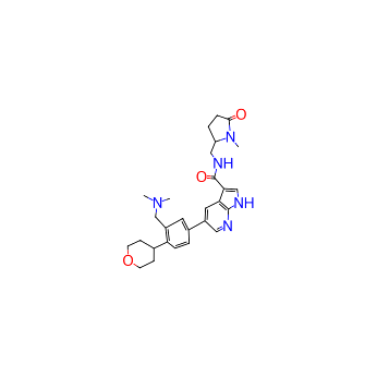 CN(C)Cc1cc(-c2cnc3[nH]cc(C(=O)NCC4CCC(=O)N4C)c3c2)ccc1C1CCOCC1